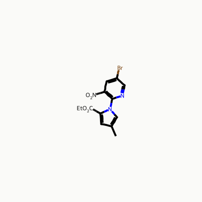 CCOC(=O)c1cc(C)cn1-c1ncc(Br)cc1[N+](=O)[O-]